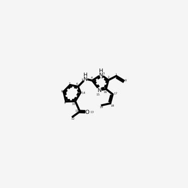 C=Cc1[nH]c(Nc2cccc(C(C)=O)c2)nc1/C=C\C